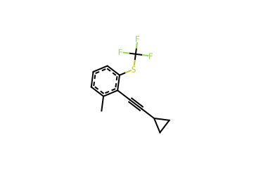 Cc1cccc(SC(F)(F)F)c1C#CC1CC1